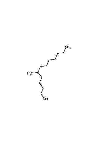 CCCCCCCC(C)CCCCO